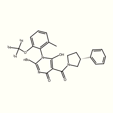 [2H]C([2H])([2H])Oc1cccc(C)c1-n1c(CCCC)nc(=O)c(C(=O)N2CC[C@H](c3ccccc3)C2)c1O